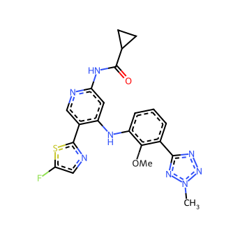 COc1c(Nc2cc(NC(=O)C3CC3)ncc2-c2ncc(F)s2)cccc1-c1nnn(C)n1